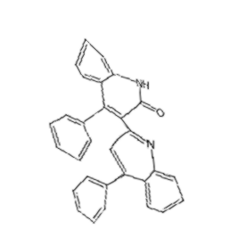 O=c1[nH]c2ccccc2c(-c2ccccc2)c1-c1cc(-c2ccccc2)c2ccccc2n1